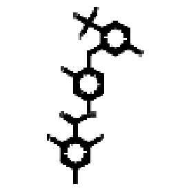 Cc1cc(F)c(C(=O)Nc2ccc(Cc3cc(F)ccc3C(F)(F)F)c(F)c2)c(F)c1